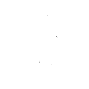 Cc1nc(-c2cncc(F)c2)sc1C(=O)NS(C)(=O)=O